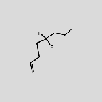 C=CCCC(F)(F)CCC